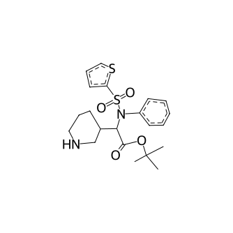 CC(C)(C)OC(=O)C(C1CCCNC1)N(c1ccccc1)S(=O)(=O)c1cccs1